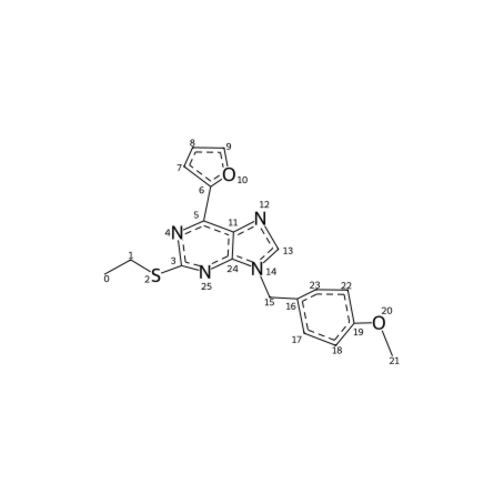 CCSc1nc(-c2ccco2)c2ncn(Cc3ccc(OC)cc3)c2n1